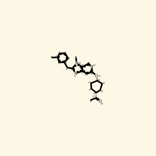 Cc1cccc(Cc2nc3cc(O[C@H]4CC[C@@H](C(C)=O)CC4)ncc3n2C)c1